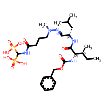 CC[C@H](C)[C@H](NC(=O)OCc1ccccc1)C(=O)N[C@H](/C=N/N(C)CCCC(=O)NC(P(=O)(O)O)P(=O)(O)O)CC(C)C